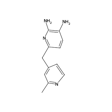 Cc1cc(Cc2ccc(N)c(N)n2)ccn1